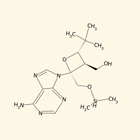 C[SiH](C)OC[C@]1(n2cnc3c(N)ncnc32)O[C@H](C(C)(C)C)[C@H]1CO